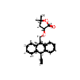 C#Cc1c2ccccc2c(COC2CC(C)(C)OC2=O)c2ccccc12